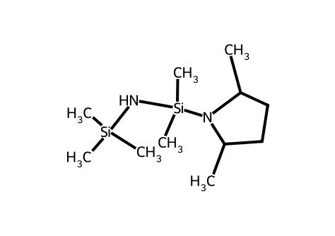 CC1CCC(C)N1[Si](C)(C)N[Si](C)(C)C